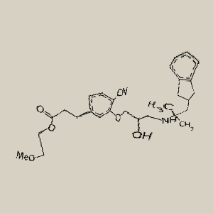 COCCOC(=O)CCc1ccc(C#N)c(OCC(O)CNC(C)(C)CC2Cc3ccccc3C2)c1